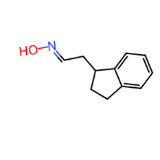 ON=CCC1CCc2ccccc21